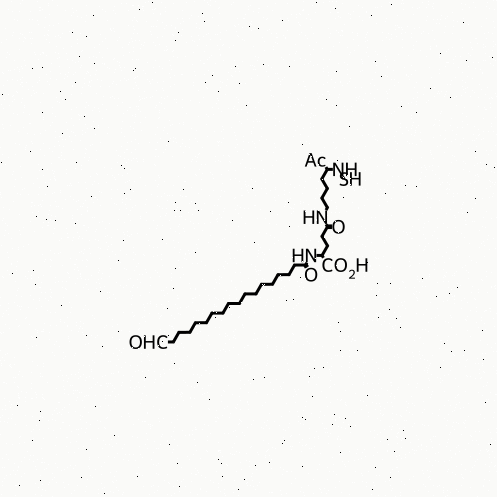 CC(=O)C(CCCCNC(=O)CCC(NC(=O)CCCCCCCCCCCCCCCCC=O)C(=O)O)NS